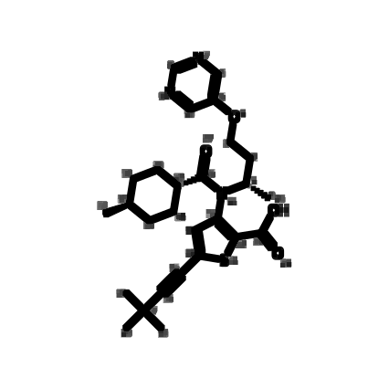 C[C@@H](CCOc1cncnc1)N(c1cc(C#CC(C)(C)C)sc1C(=O)O)C(=O)[C@H]1CC[C@H](C)CC1